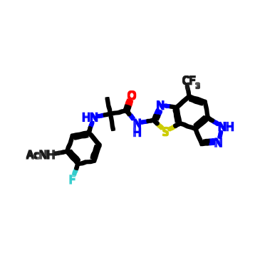 CC(=O)Nc1cc(NC(C)(C)C(=O)Nc2nc3c(C(F)(F)F)cc4[nH]ncc4c3s2)ccc1F